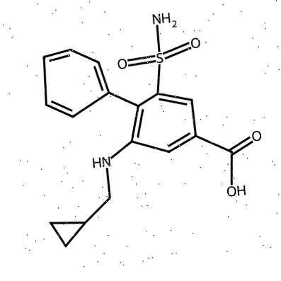 NS(=O)(=O)c1cc(C(=O)O)cc(NCC2CC2)c1-c1ccccc1